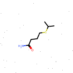 CC(C)SCCCC(N)=O